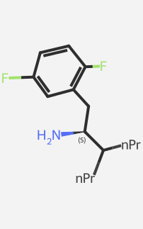 CCCC(CCC)[C@@H](N)Cc1cc(F)ccc1F